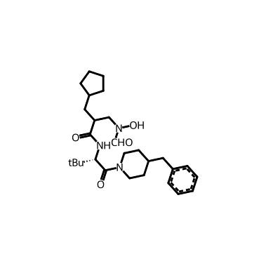 CC(C)(C)[C@H](NC(=O)C(CC1CCCC1)CN(O)C=O)C(=O)N1CCC(Cc2ccccc2)CC1